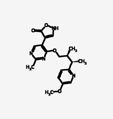 COc1ccc([C@@H](C)[C@H](C)COc2nc(C)ncc2-c2c[nH]oc2=O)nc1